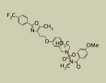 COc1ccc(C(=O)N(C)S(=O)(=O)N(CC(=O)O)Cc2cccc(OCCc3nc(-c4ccc(C(F)(F)F)cc4)oc3C)c2)cc1